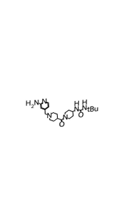 CC(C)(C)NC(=O)NC1CCN(C(=O)C2CCN(Cc3ccnc(N)c3)CC2)CC1